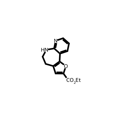 CCOC(=O)c1cc2c(o1)-c1cccnc1NCC2